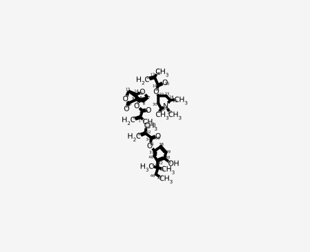 C=C(C)C(=O)OC1C2CC3C(=O)OC1C3O2.C=C(C)C(=O)OC1CC(C)N(C)C(C)C1.C=C(C)C(=O)Oc1ccc(O)c(C(C)(C)CC)c1